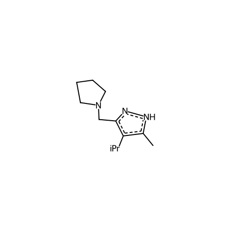 Cc1[nH]nc(CN2CCCC2)c1C(C)C